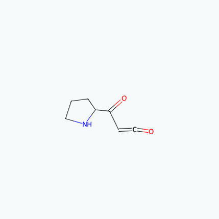 O=C=CC(=O)C1CCCN1